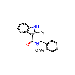 CON(Cc1ccccc1)C(=O)c1c(C(C)C)[nH]c2ccccc12